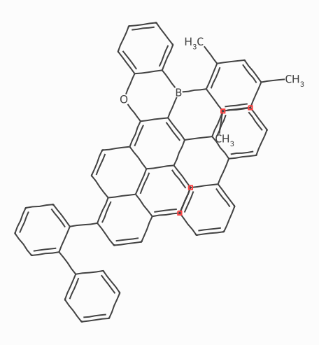 Cc1cc(C)c(B2c3ccccc3Oc3c2c(-c2ccccc2-c2ccccc2)c2ccc4ccc(-c5ccccc5-c5ccccc5)c5ccc3c2c45)c(C)c1